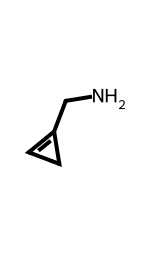 NCC1=CC1